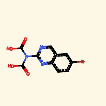 O=C(O)N(C(=O)O)c1ncc2cc(Br)ccc2n1